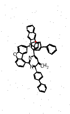 C=C1C=C(c2ccccc2)N=C(c2cccc3oc4ccc(-n5c6ccc(-c7ccccc7)cc6c6cc7ccccc7cc65)cc4c23)N=C1c1ccc(-c2ccccc2)cc1